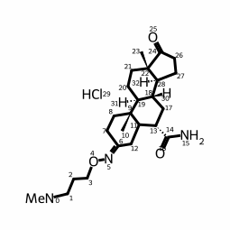 CNCCCON=C1CC[C@@]2(C)C(C1)[C@@H](C(N)=O)C[C@@H]1[C@@H]2CC[C@]2(C)C(=O)CC[C@@H]12.Cl